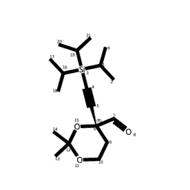 CC(C)[Si](C#C[C@@]1(C=O)CCOC(C)(C)O1)(C(C)C)C(C)C